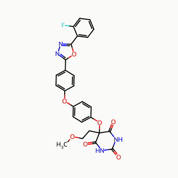 COCCC1(Oc2ccc(Oc3ccc(-c4nnc(-c5ccccc5F)o4)cc3)cc2)C(=O)NC(=O)NC1=O